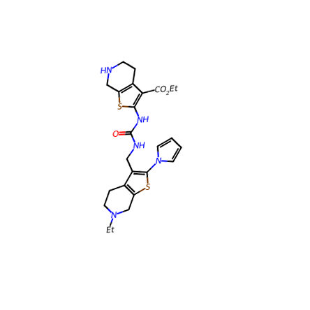 CCOC(=O)c1c(NC(=O)NCc2c(-n3cccc3)sc3c2CCN(CC)C3)sc2c1CCNC2